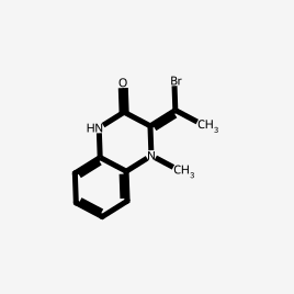 C/C(Br)=C1/C(=O)Nc2ccccc2N1C